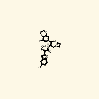 O=C(NC(CN1CCC1)C(O)c1cc(F)c2c(c1)OCCO2)C(=NO)c1cc2cc(Cl)ccc2o1